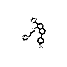 FC(F)(F)c1ccc(-c2ccc3ncc(-c4nnco4)c(NCCCn4ccnc4)c3c2)cc1